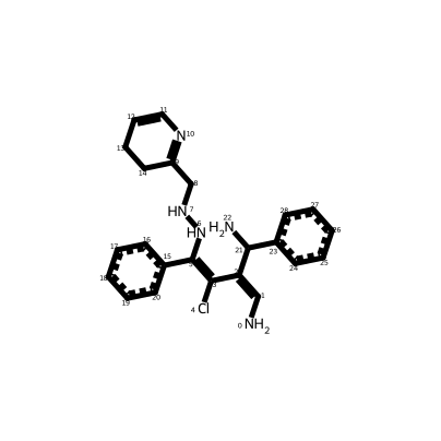 N/C=C(\C(Cl)=C(/NNCC1=NC=CCC1)c1ccccc1)C(N)c1ccccc1